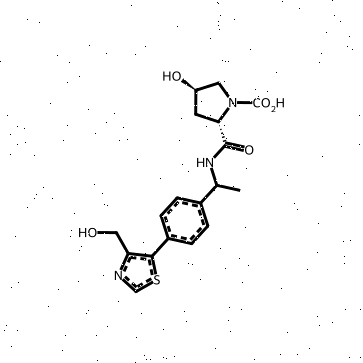 CC(NC(=O)[C@@H]1C[C@@H](O)CN1C(=O)O)c1ccc(-c2scnc2CO)cc1